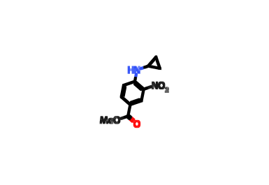 COC(=O)c1ccc(NC2CC2)c([N+](=O)[O-])c1